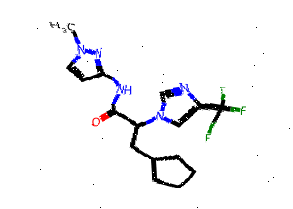 Cn1ccc(NC(=O)C(CC2CCCC2)n2cnc(C(F)(F)F)c2)n1